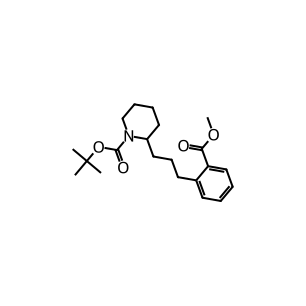 COC(=O)c1ccccc1CCCC1CCCCN1C(=O)OC(C)(C)C